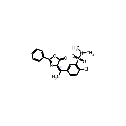 C/C(=C1\N=C(c2ccccc2)OC1=O)c1ccc(Cl)c(S(=O)(=O)N(C)C)c1